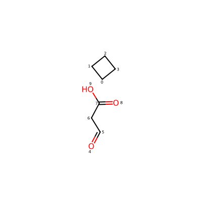 C1CCC1.O=CCC(=O)O